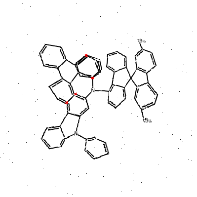 CC(C)(C)c1ccc2c(c1)C1(c3cc(C(C)(C)C)ccc3-2)c2ccccc2-c2c(N(c3ccc4c5ccccc5n(-c5ccccc5)c4c3)C3C=CC=CC3c3ccccc3-c3ccccc3-c3ccccc3)cccc21